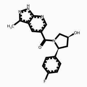 Cc1n[nH]c2ncc(C(=O)N3C[C@@H](O)C[C@H]3c3ccc(F)cc3)cc12